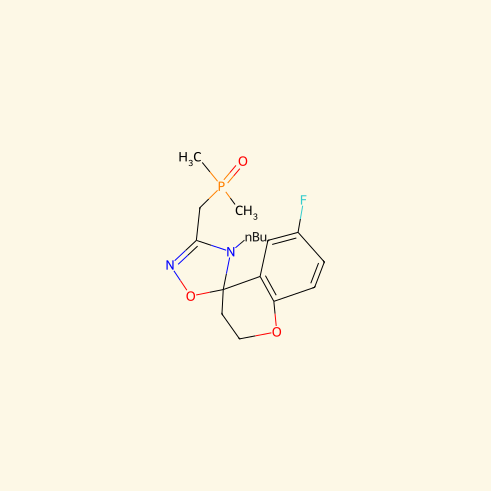 CCCCN1C(CP(C)(C)=O)=NOC12CCOc1ccc(F)cc12